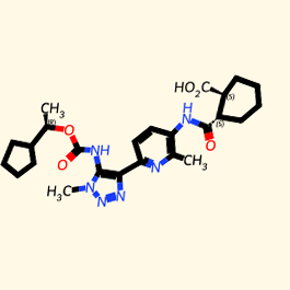 Cc1nc(-c2nnn(C)c2NC(=O)O[C@H](C)C2CCCC2)ccc1NC(=O)[C@H]1CCCC[C@@H]1C(=O)O